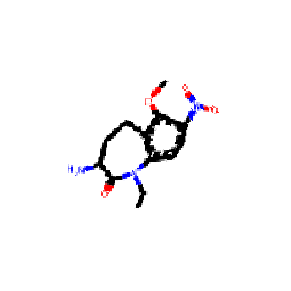 CCN1C(=O)C(N)CCc2c1ccc([N+](=O)[O-])c2OC